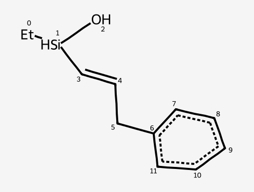 CC[SiH](O)C=CCc1ccccc1